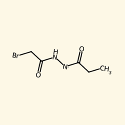 CCC(=O)[N]NC(=O)CBr